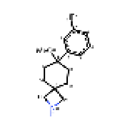 COC1(c2cccc(C(C)C)c2)CCC2(CC1)CNC2